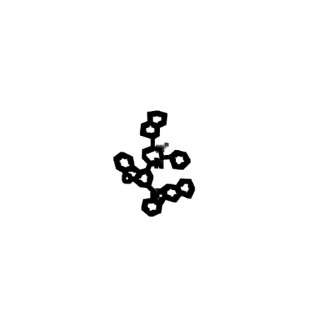 C[C@H]1C(c2ccc3ccccc3c2)=CCC(c2cc(-n3c4ccccc4c4cc5ccccc5cc43)cc3oc4ccccc4c23)=NC1c1ccccc1